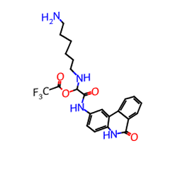 NCCCCCCNC(OC(=O)C(F)(F)F)C(=O)Nc1ccc2[nH]c(=O)c3ccccc3c2c1